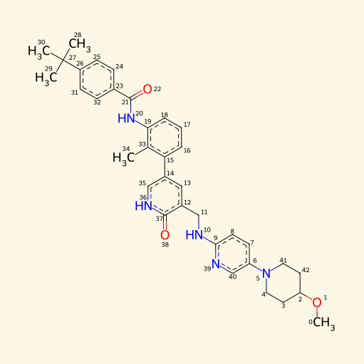 COC1CCN(c2ccc(NCc3cc(-c4cccc(NC(=O)c5ccc(C(C)(C)C)cc5)c4C)c[nH]c3=O)nc2)CC1